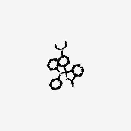 CCN(CC)c1ccc(C2(N(c3ccccc3)c3ccccc3)OC(=O)c3ccncc32)cc1